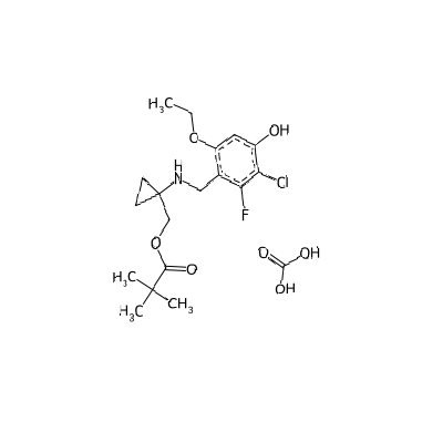 CCOc1cc(O)c(Cl)c(F)c1CNC1(COC(=O)C(C)(C)C)CC1.O=C(O)O